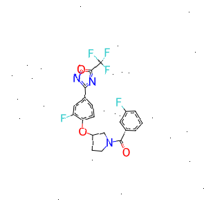 O=C(c1cccc(F)c1)N1CCC(Oc2ccc(-c3noc(C(F)(F)F)n3)cc2F)C1